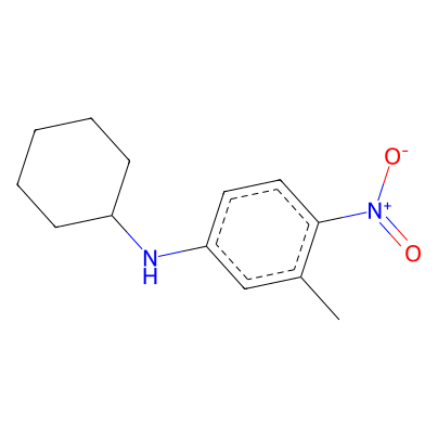 Cc1cc(NC2CCCCC2)ccc1[N+](=O)[O-]